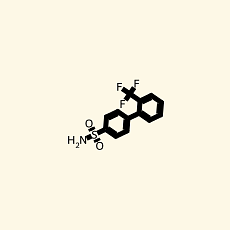 NS(=O)(=O)c1ccc(-c2ccccc2C(F)(F)F)cc1